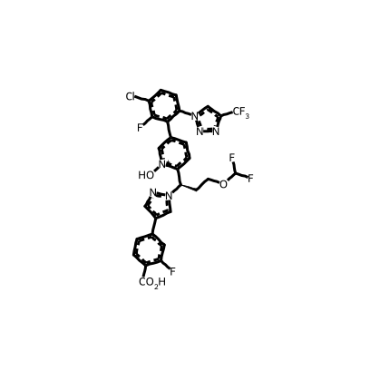 O=C(O)c1ccc(-c2cnn([C@H](CCOC(F)F)c3ccc(-c4c(-n5cc(C(F)(F)F)nn5)ccc(Cl)c4F)c[n+]3O)c2)cc1F